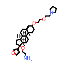 C[C@]12CCC(OCCOCCN3CCCC3)C=C1CC[C@@H]1[C@H]2CC[C@@]2(C)[C@H]1CCC2(OCCN)c1ccoc1